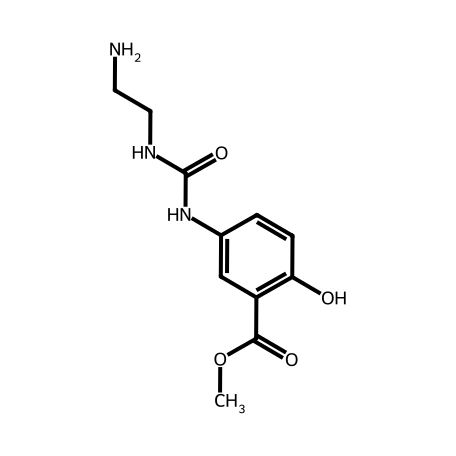 COC(=O)c1cc(NC(=O)NCCN)ccc1O